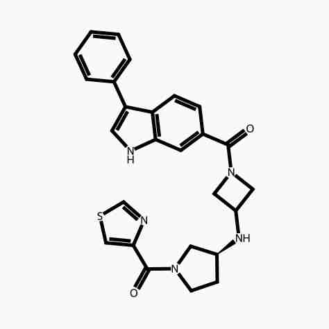 O=C(c1ccc2c(-c3ccccc3)c[nH]c2c1)N1CC(N[C@H]2CCN(C(=O)c3cscn3)C2)C1